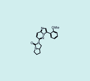 COc1ccccc1-c1cnc2ccc(N3CC4CCCN4C3=O)nn12